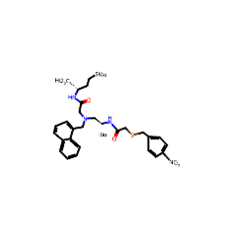 CC[C@H](C)[C@@H](CN(CC(=O)N[C@@H](CCSC)C(=O)O)Cc1cccc2ccccc12)NC(=O)CSCc1ccc([N+](=O)[O-])cc1